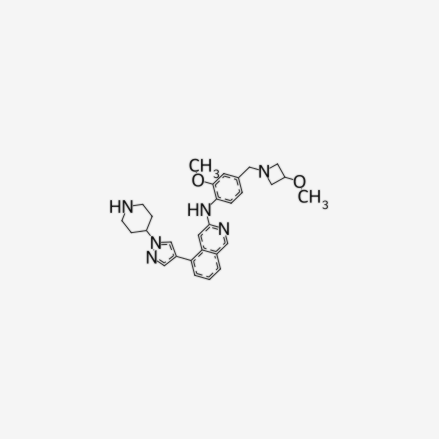 COc1cc(CN2CC(OC)C2)ccc1Nc1cc2c(-c3cnn(C4CCNCC4)c3)cccc2cn1